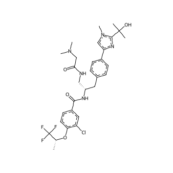 C[C@@H](Oc1ccc(C(=O)N[C@H](CNC(=O)CN(C)C)Cc2ccc(-c3cn(C)c(C(C)(C)O)n3)cc2)cc1Cl)C(F)(F)F